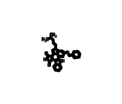 CN(C)CCCn1cc(C2=C(c3c[nH]c4ccccc34)C(=O)NC2=O)c2ccc(OCc3ccccc3)cc21